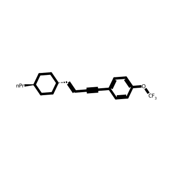 CCC[C@H]1CC[C@H](C=CC#Cc2ccc(OC(F)(F)F)cc2)CC1